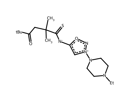 CCN1CCN([n+]2cc([N-]C(=S)C(C)(C)CC(=O)C(C)(C)C)on2)CC1